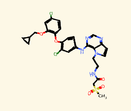 CS(=O)(=O)CC(=O)NCCn1ccc2ncnc(Nc3ccc(Oc4ccc(Cl)cc4OCC4CC4)c(Cl)c3)c21